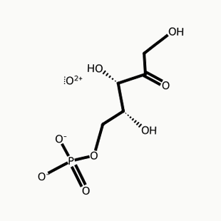 O=C(CO)[C@@H](O)[C@H](O)COP(=O)([O-])[O-].[O+2]